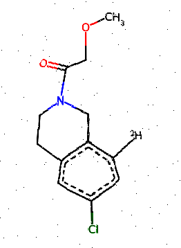 [2H]c1cc(Cl)cc2c1CN(C(=O)COC)CC2